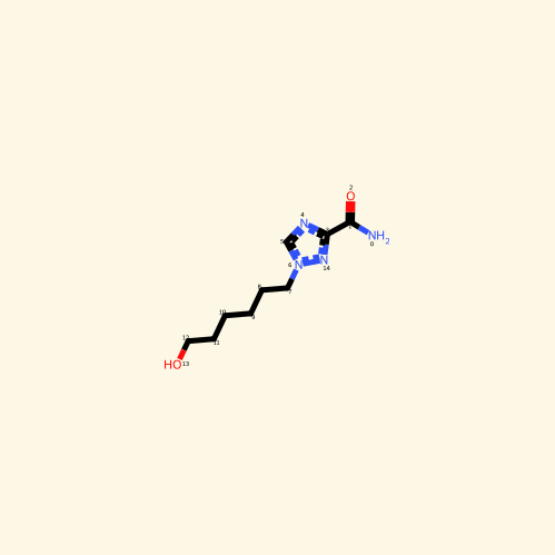 NC(=O)c1ncn(CCCCCCO)n1